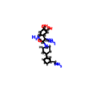 NCc1cccc(C2CCN(C(=O)C(N)c3cc(O)c(O)cc3N)CC2)c1